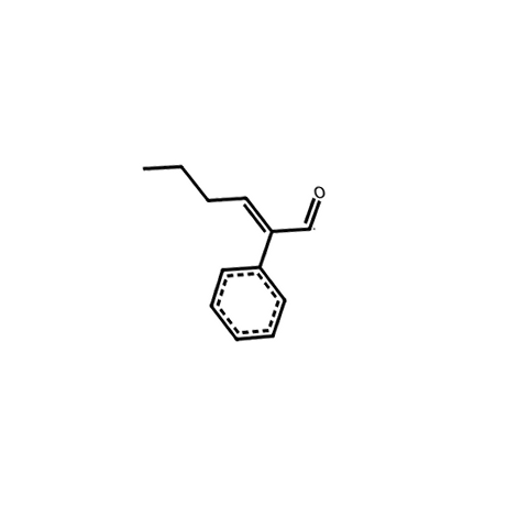 CCC/C=C(/[C]=O)c1ccccc1